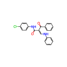 O=C(Nc1ccc(Cl)cc1)C(=CNc1ccccc1)C(=O)c1ccccc1